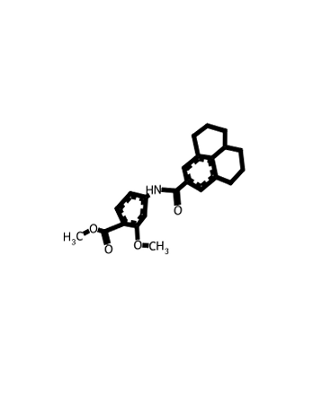 COC(=O)c1ccc(NC(=O)c2cc3c4c(c2)CCCC4CCC3)cc1OC